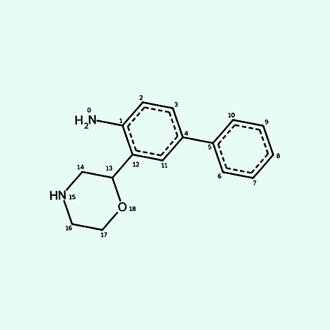 Nc1ccc(-c2ccccc2)cc1C1CNCCO1